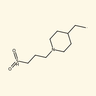 [CH2]CC1CCN(CCC[SH](=O)=O)CC1